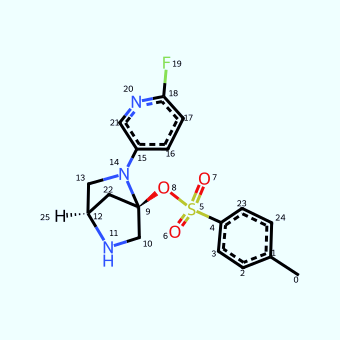 Cc1ccc(S(=O)(=O)O[C@]23CN[C@@H](CN2c2ccc(F)nc2)C3)cc1